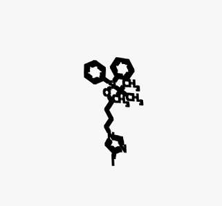 CC(C)(C)[Si](OCCCCn1cnc(I)c1)(c1ccccc1)c1ccccc1